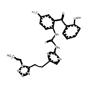 COc1ccccc1C(=O)c1cc(C)ccc1NC(=O)Nc1ncc(CCc2nnnn2CC(=O)O)s1